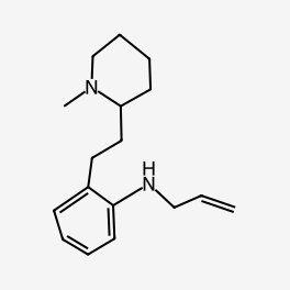 C=CCNc1ccccc1CCC1CCCCN1C